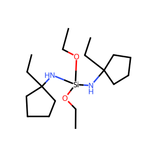 CCO[Si](NC1(CC)CCCC1)(NC1(CC)CCCC1)OCC